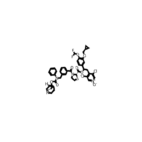 O=C(OC(Cc1c(Cl)c[n+]([O-])cc1Cl)c1ccc(OC(F)F)c(OCC2CC2)c1)[C@@H]1SCCN1C(=O)c1cccc(CN(C(=O)O[C@H]2CN3CCC2CC3)c2ccccc2)c1